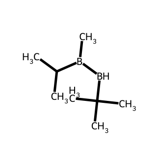 CB(BC(C)(C)C)C(C)C